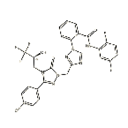 O=C(Nc1cc(F)ccc1F)c1ccccc1-n1cnc(Cn2nc(-c3ccc(Cl)cc3)n(C[C@H](O)C(F)(F)F)c2=O)n1